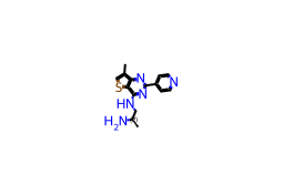 Cc1csc2c(NC[C@@H](C)N)nc(-c3ccncc3)nc12